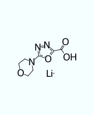 O=C(O)c1nnc(N2CCOCC2)o1.[Li]